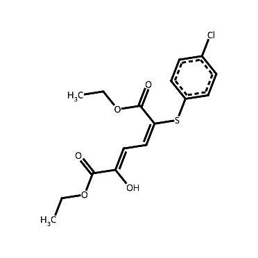 CCOC(=O)C(O)=CC=C(Sc1ccc(Cl)cc1)C(=O)OCC